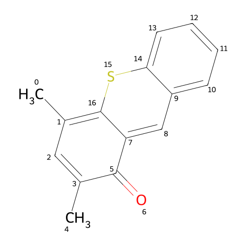 Cc1cc(C)c(=O)c2cc3ccccc3sc1-2